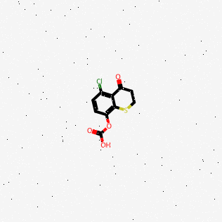 O=C(O)Oc1ccc(Cl)c2c1SCCC2=O